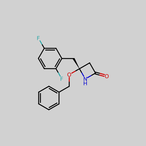 O=C1C[C@@](Cc2cc(F)ccc2F)(OCc2ccccc2)N1